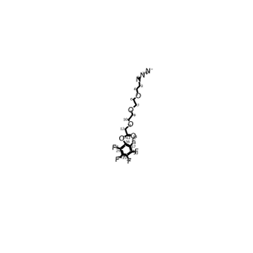 [N-]=[N+]=NCCOCCOCCOCC(=O)Oc1c(F)c(F)c(F)c(F)c1F